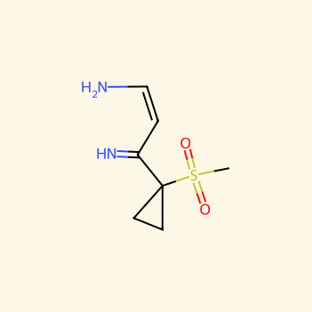 CS(=O)(=O)C1(C(=N)/C=C\N)CC1